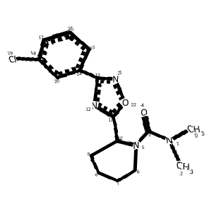 CN(C)C(=O)N1CCCCC1c1nc(-c2cccc(Cl)c2)no1